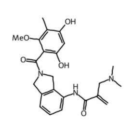 C=C(CN(C)C)C(=O)Nc1cccc2c1CN(C(=O)c1c(O)cc(O)c(C)c1OC)C2